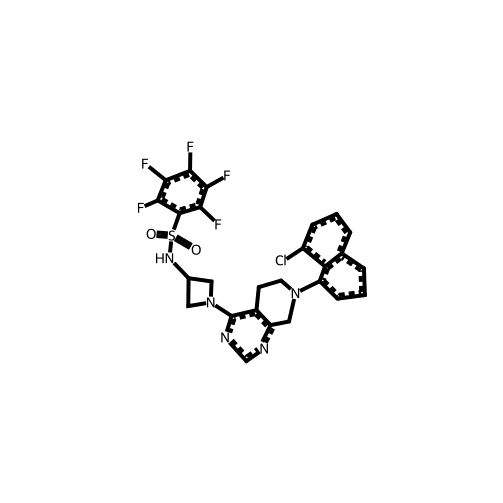 O=S(=O)(NC1CN(c2ncnc3c2CCN(c2cccc4cccc(Cl)c24)C3)C1)c1c(F)c(F)c(F)c(F)c1F